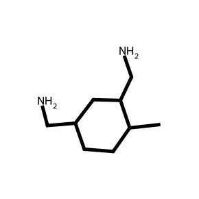 CC1CCC(CN)CC1CN